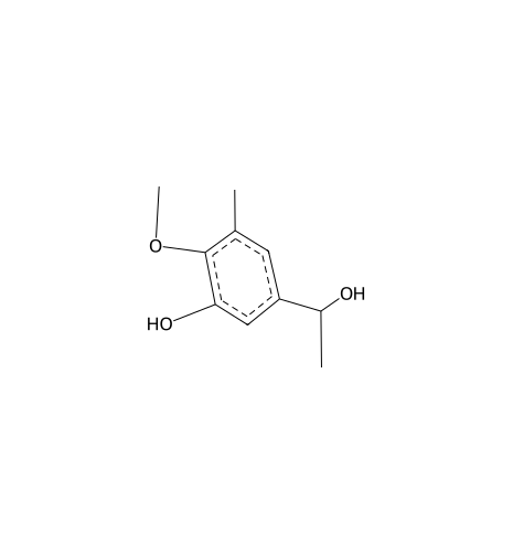 COc1c(C)cc(C(C)O)cc1O